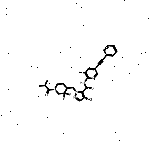 Cc1cc(C#Cc2ccccc2)cnc1NC(=O)c1c(Cl)cnn1CC1CCN(C(=O)C(C)C)CC1(F)F